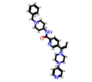 C/C=C(\c1ccc(C(=O)NC2CCN(Cc3ccccc3)CC2)nc1)N1CCN(c2ccncc2)CC1